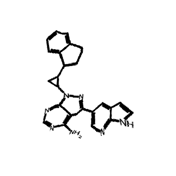 Nc1ncnc2c1c(-c1cnc3[nH]ccc3c1)nn2C1CC1C1CCc2ccccc21